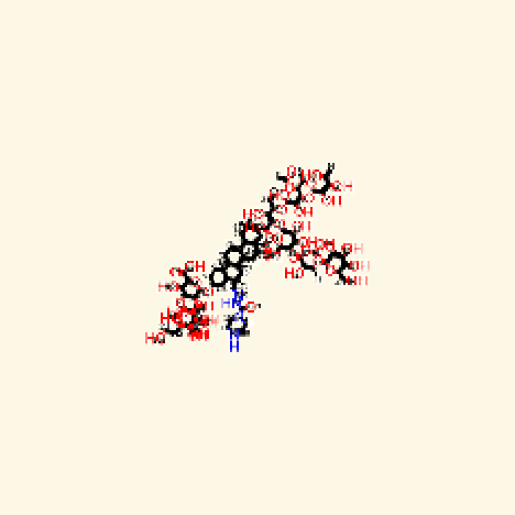 CCC(OC(C)=O)/C(OC(O)/C(O)=C(/O)C(C)O)=C(/O)C(O)OC(CC)/C(O)=C(\OC1OC(C)C(OC(OCO)C(O)[C@H](C)OC2OC(CO)C(O)C(O)C2O)C(O)C1O)C(O)OC(=O)[C@]12CCC(C)(C)CC1C1=CCC3[C@@]4(C)CC[C@H](OC5OC(C(=O)O)C(O)C(OC6OCC(O)C(O)C6O)C5OC(O)/C(O)=C(/O)C(O)CCO)CC4[C@@](C)(/C=N/NC(=O)N4CCNCC4)C[C@@]3(C)[C@]1(C)C[C@H]2O